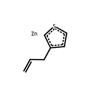 C=CCc1ccsc1.[Zn]